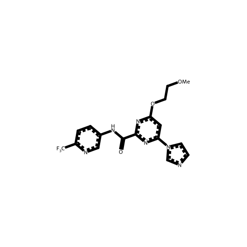 COCCOc1cc(-n2ccnc2)nc(C(=O)Nc2ccc(C(F)(F)F)nc2)n1